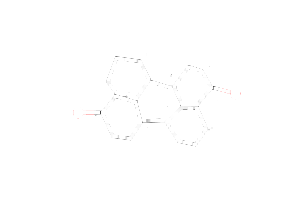 O=c1ccc2c3cccc4c(=O)ccc(c5cccc1c52)c43